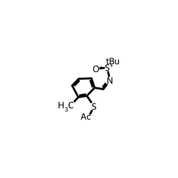 CC(=O)Sc1c(C)cccc1/C=N\[S+]([O-])C(C)(C)C